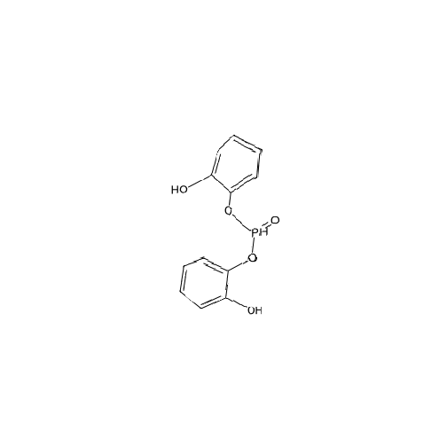 O=[PH](Oc1ccccc1O)Oc1ccccc1O